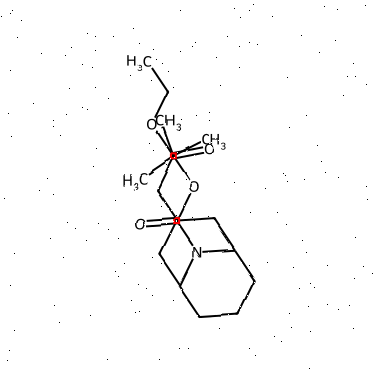 CCOC(=O)CC1CC2CCCC(C1)N2C(=O)OC(C)(C)C